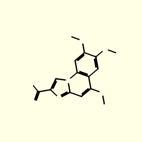 COc1cc2c(OC)cc3nc(C(=O)O)cn3c2cc1OC